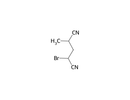 CC(C#N)CC(Br)C#N